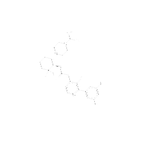 CC(C)N1CCN([C@H]2CCCC(F)(F)[C@@H]2NC(=O)Cc2ccnc(-c3cc(F)cc(F)c3)c2F)CC1